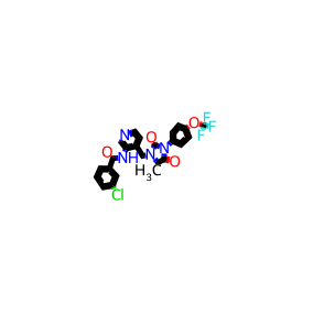 CC1C(=O)N(c2ccc(OC(F)(F)F)cc2)C(=O)N1Cc1ccncc1NC(=O)c1cccc(Cl)c1